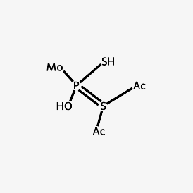 CC(=O)S(C(C)=O)=[P](O)(S)[Mo]